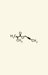 C=C(C)C(=O)OCC#CC